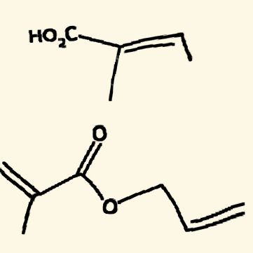 C=CCOC(=O)C(=C)C.CC=C(C)C(=O)O